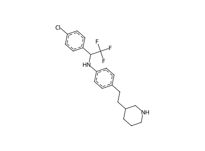 FC(F)(F)C(Nc1ccc(CCC2CCCNC2)cc1)c1ccc(Cl)cc1